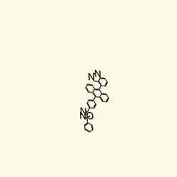 c1ccc(-c2nnc(-c3ccc(-c4c5ccccc5c(-c5cccc6ncncc56)c5ccccc45)cc3)o2)cc1